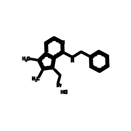 Cc1c(C)n(CC(C)C)c2c(NCc3ccccc3)nccc12.Cl